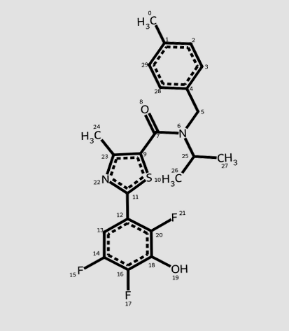 Cc1ccc(CN(C(=O)c2sc(-c3cc(F)c(F)c(O)c3F)nc2C)C(C)C)cc1